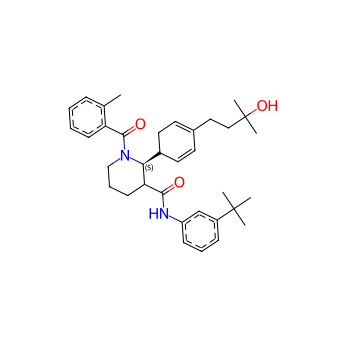 Cc1ccccc1C(=O)N1CCCC(C(=O)Nc2cccc(C(C)(C)C)c2)[C@@H]1C1C=CC(CCC(C)(C)O)=CC1